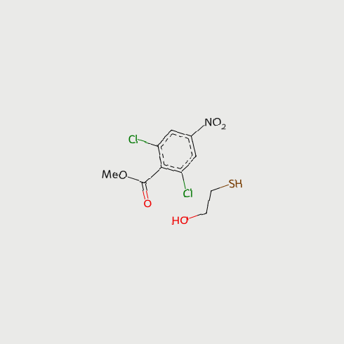 COC(=O)c1c(Cl)cc([N+](=O)[O-])cc1Cl.OCCS